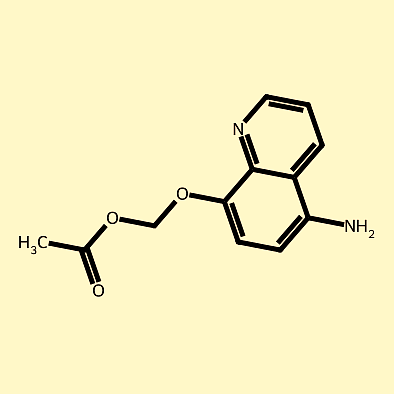 CC(=O)OCOc1ccc(N)c2cccnc12